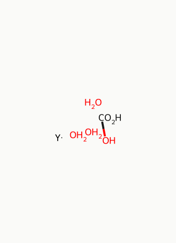 O.O.O.O=C(O)O.[Y]